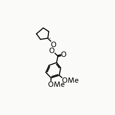 COc1ccc(C(=O)OO[C]2CCCC2)cc1OC